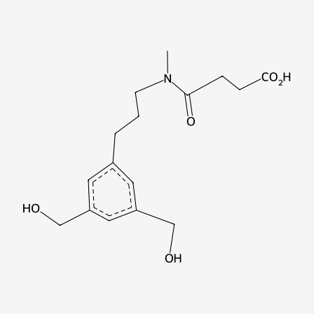 CN(CCCc1cc(CO)cc(CO)c1)C(=O)CCC(=O)O